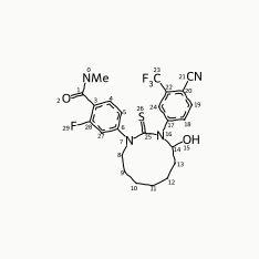 CNC(=O)c1ccc(N2CCCCCCC(O)N(c3ccc(C#N)c(C(F)(F)F)c3)C2=S)cc1F